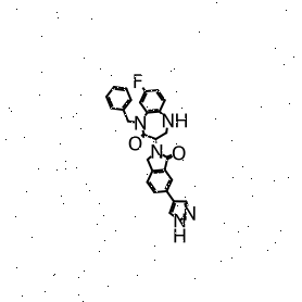 O=C1[C@@H](N2Cc3ccc(-c4cn[nH]c4)cc3C2=O)CNc2ccc(F)cc2N1Cc1ccccc1